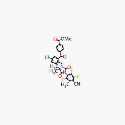 COC(=O)c1ccc(C(=O)c2cc(Cl)ccc2CN2C(=O)N(c3c(F)c(C)c(C#N)c(F)c3F)C(=O)C2(C)C)cc1